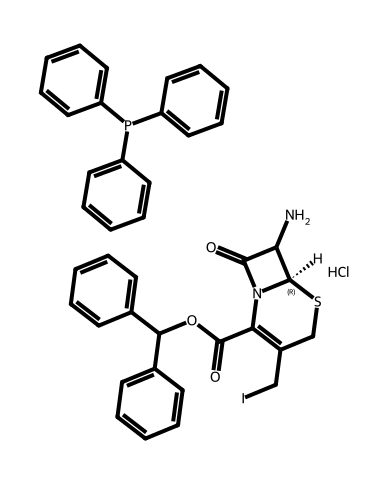 Cl.NC1C(=O)N2C(C(=O)OC(c3ccccc3)c3ccccc3)=C(CI)CS[C@H]12.c1ccc(P(c2ccccc2)c2ccccc2)cc1